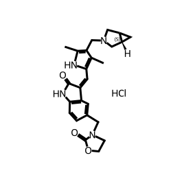 Cc1[nH]c(C=C2C(=O)Nc3ccc(CN4CCOC4=O)cc32)c(C)c1CN1CC2C[C@@H]2C1.Cl